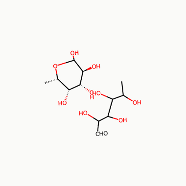 CC(O)C(O)C(O)C(O)C=O.C[C@@H]1OC(O)[C@@H](O)[C@H](O)[C@@H]1O